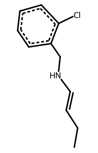 CC/C=C/NCc1ccccc1Cl